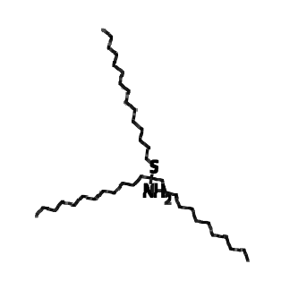 CCCCCCCCCCCCCCCSC(N)(CCCCCCCCCCCC)CCCCCCCCCCCC